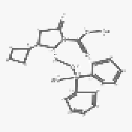 CC(C)(C)OC(=O)N1C(=O)C[C@H](C2CCC2)[C@H]1CO[Si](c1ccccc1)(c1ccccc1)C(C)(C)C